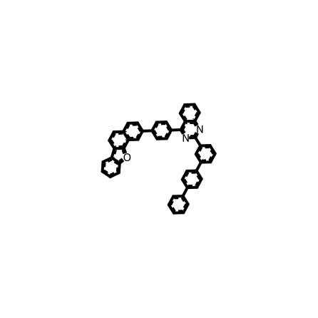 c1ccc(-c2ccc(-c3cccc(-c4nc(-c5ccc(-c6ccc7ccc8c9ccccc9oc8c7c6)cc5)c5ccccc5n4)c3)cc2)cc1